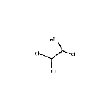 CCCCC(Cl)C(Cl)C(C)C